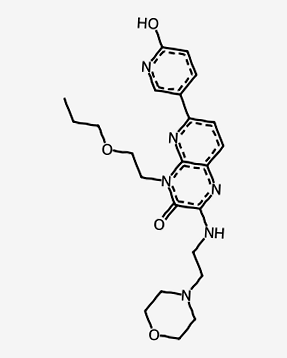 CCCOCCn1c(=O)c(NCCN2CCOCC2)nc2ccc(-c3ccc(O)nc3)nc21